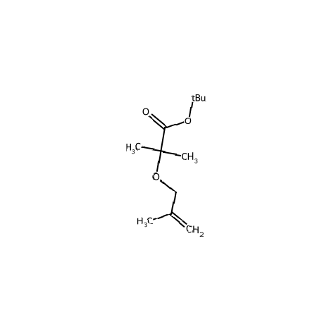 C=C(C)COC(C)(C)C(=O)OC(C)(C)C